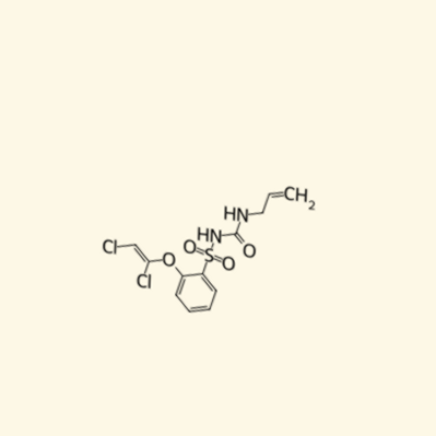 C=CCNC(=O)NS(=O)(=O)c1ccccc1OC(Cl)=CCl